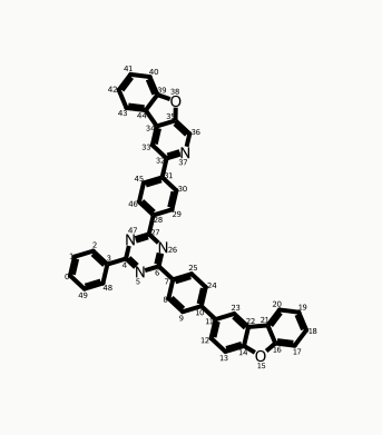 c1ccc(-c2nc(-c3ccc(-c4ccc5oc6ccccc6c5c4)cc3)nc(-c3ccc(-c4cc5c(cn4)oc4ccccc45)cc3)n2)cc1